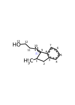 CC1Cc2ccccc2/C1=N/CCO